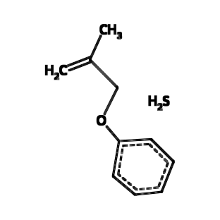 C=C(C)COc1ccccc1.S